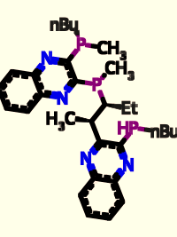 CCCCPc1nc2ccccc2nc1[C@@H](C)[C@H](CC)P(C)c1nc2ccccc2nc1[P@](C)CCCC